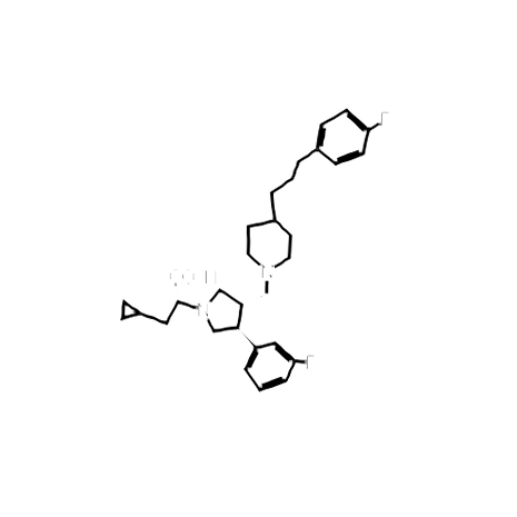 O=C(O)[C@@H](CC1CC1)N1C[C@H](CN2CCC(CCCc3ccc(F)cc3)CC2)[C@@H](c2cccc(F)c2)C1